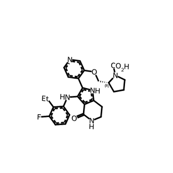 CCc1c(F)cccc1Nc1c(-c2ccncc2OC[C@H]2CCCN2C(=O)O)[nH]c2c1C(=O)NCC2